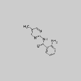 Cc1cnc(NC(=O)c2ccccc2N)nc1